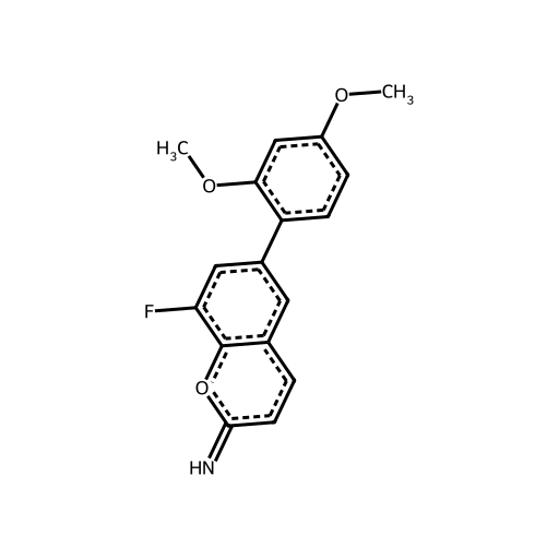 COc1ccc(-c2cc(F)c3oc(=N)ccc3c2)c(OC)c1